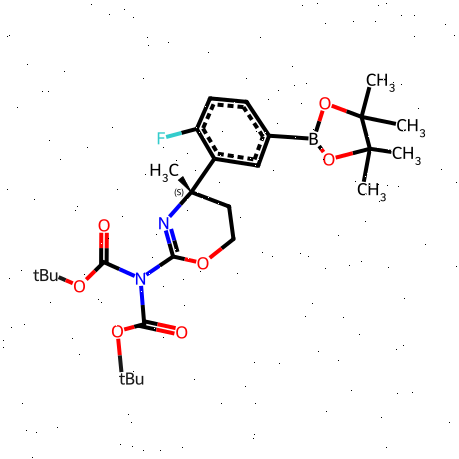 CC(C)(C)OC(=O)N(C(=O)OC(C)(C)C)C1=N[C@](C)(c2cc(B3OC(C)(C)C(C)(C)O3)ccc2F)CCO1